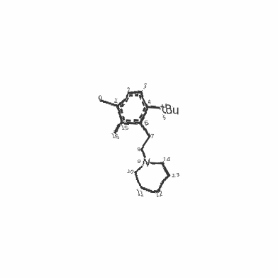 Cc1ccc(C(C)(C)C)c(CCN2CCCCC2)c1C